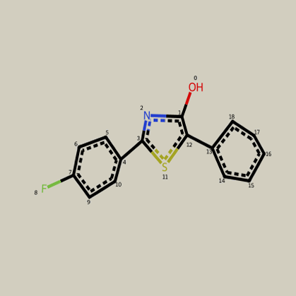 Oc1nc(-c2ccc(F)cc2)sc1-c1ccccc1